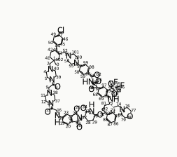 CC1(CN2CCN(C(=O)CN3CCN(C(=O)CNc4ccc5c(c4)C(=O)N(C4CCC(=O)NC4=O)C5=O)CC3)CC2)CCC(c2ccc(Cl)cc2)=C(CN2CCN(c3ccc(C(=O)NS(=O)(=O)c4ccc(N[C@H](CCN5CCOCC5)CSc5ccccc5)c(S(=O)(=O)C(F)(F)F)c4)cc3)CC2)C1